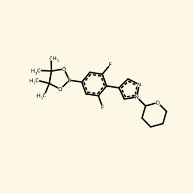 CC1(C)OB(c2cc(F)c(-c3cnn(C4CCCCO4)c3)c(F)c2)OC1(C)C